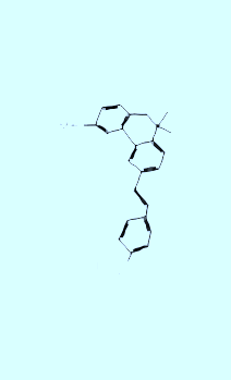 CCOC(=O)c1ccc(/C=C/c2ccc3c(c2)-c2cc(OC)ccc2CC3(C)C)cc1